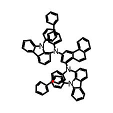 c1ccc(-c2ccc(N(c3cc(N(c4ccc(-c5ccccc5)cc4)c4cccc5c6ccccc6n(-c6ccccc6)c45)c4ccc5ccccc5c4c3)c3cccc4c5ccccc5n(-c5ccccc5)c34)cc2)cc1